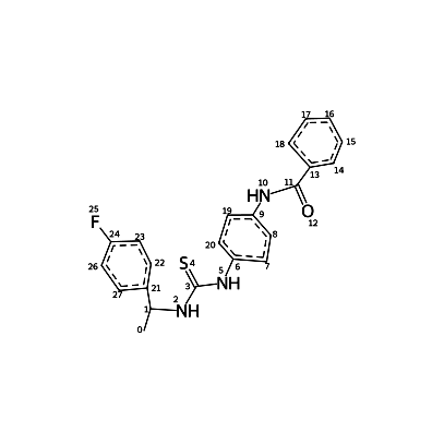 CC(NC(=S)Nc1ccc(NC(=O)c2ccccc2)cc1)c1ccc(F)cc1